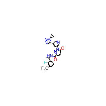 C[C@@H](NC(=O)c1ccc(=O)n(-c2cncc(-c3cnnn3C3CC3)c2)n1)c1cccc(C(F)(F)F)c1F